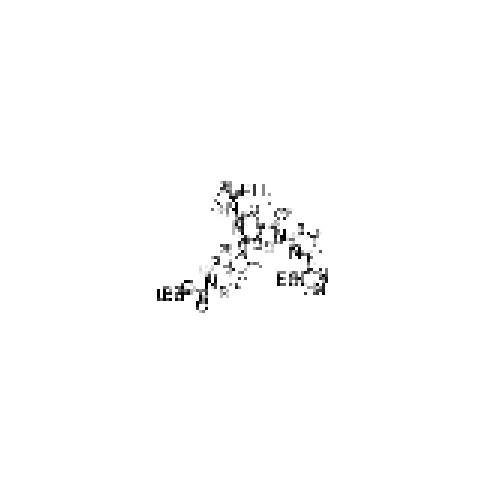 CCn1cnnc1-c1cccc(N2Cc3c(cc(N4CCC[C@H]4C)nc3N3CCC4(CCN(C(=O)OC(C)(C)C)CC4)C3)C2=O)n1